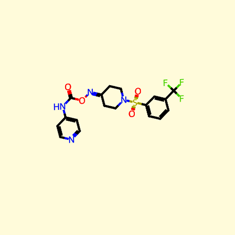 O=C(Nc1ccncc1)ON=C1CCN(S(=O)(=O)c2cccc(C(F)(F)F)c2)CC1